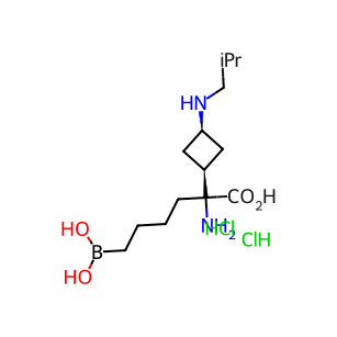 CC(C)CN[C@H]1C[C@@H](C(N)(CCCCB(O)O)C(=O)O)C1.Cl.Cl